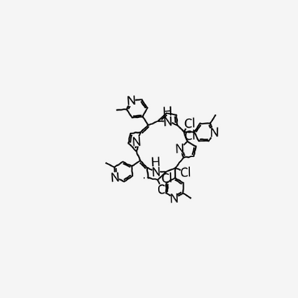 Cc1cc(C2=C3[CH]C(Cl)C(Cl)(N3)C(Cl)(c3ccnc(C)c3)C3=NC(Cl)(C=C3)C(Cl)(c3ccnc(C)c3)c3ccc([nH]3)C(c3ccnc(C)c3)=C3C=CC2=N3)ccn1